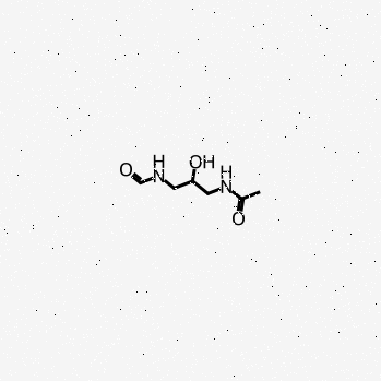 CC(=O)NCC(O)CNC=O